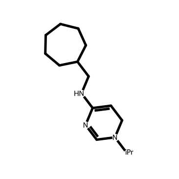 CC(C)N1C=NC(NCC2CCCCCC2)=CC1